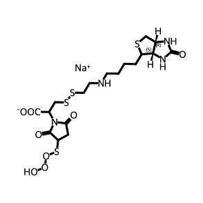 O=C1N[C@H]2CSC(CCCCNCCSSCC(C(=O)[O-])N3C(=O)CC(SOOO)C3=O)[C@H]2N1.[Na+]